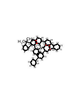 CC1(C)c2ccccc2-c2c(-c3ccccc3N(c3ccccc3-c3ccc(-c4ccccc4)cc3)c3ccccc3-c3ccc4c(c3)sc3ccccc34)cccc21